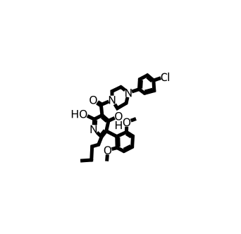 CCCCc1nc(O)c(C(=O)N2CCN(c3ccc(Cl)cc3)CC2)c(O)c1-c1c(OC)cccc1OC